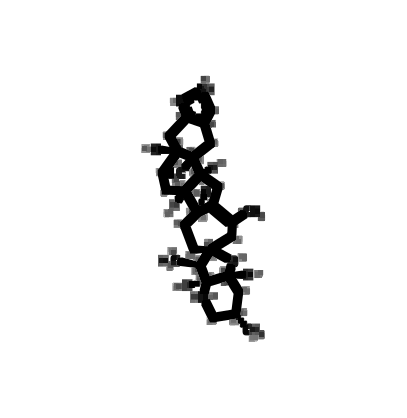 CC1=C2C[C@H]3[C@@H](CC[C@@H]4Cc5n[nH]cc5C[C@@]43C)[C@@H]2CC[C@@]2(C1)O[C@@H]1C[C@H](C)CN[C@H]1[C@H]2C